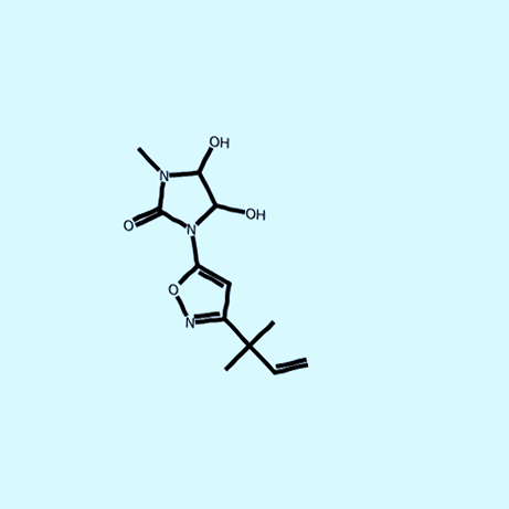 C=CC(C)(C)c1cc(N2C(=O)N(C)C(O)C2O)on1